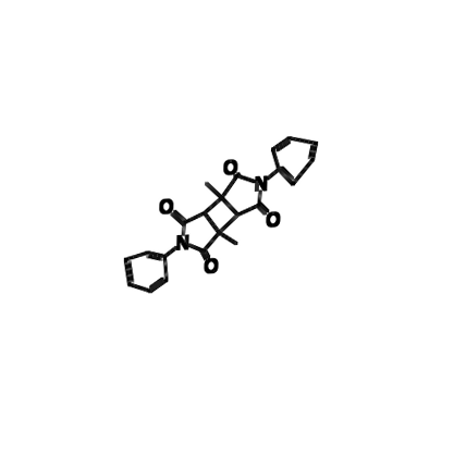 CC12C(=O)N(c3ccccc3)C(=O)C1C1(C)C(=O)N(c3ccccc3)C(=O)C21